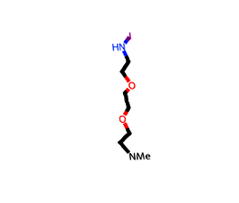 CNCCOCCOCCNI